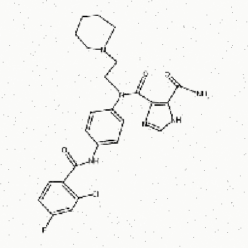 NC(=O)c1[nH]cnc1C(=O)N(CCN1CCCCC1)c1ccc(NC(=O)c2ccc(F)cc2Cl)cc1